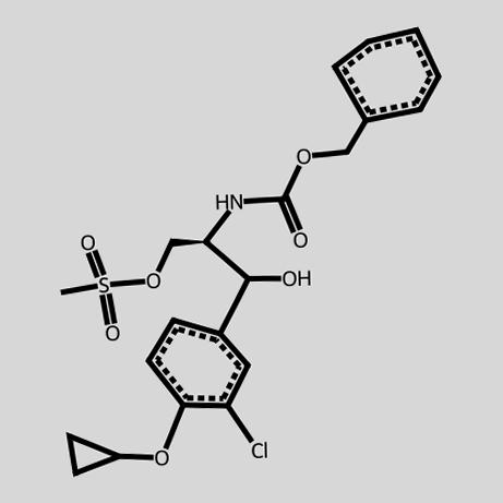 CS(=O)(=O)OC[C@@H](NC(=O)OCc1ccccc1)C(O)c1ccc(OC2CC2)c(Cl)c1